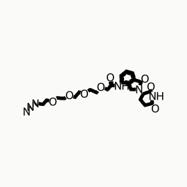 [N-]=[N+]=NCCOCCOCCOCCOCC(=O)Nc1cccc2c1CN(C1CCC(=O)NC1=O)C2=O